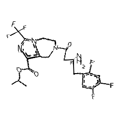 CC(C)OC(=O)c1nc(C(F)(F)F)n2c1CN(C(=O)C[C@H](N)Cc1cc(F)c(F)cc1F)CC2